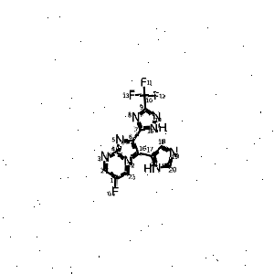 Fc1cnc2nc(-c3nc(C(F)(F)F)n[nH]3)c(-c3cnc[nH]3)n2c1